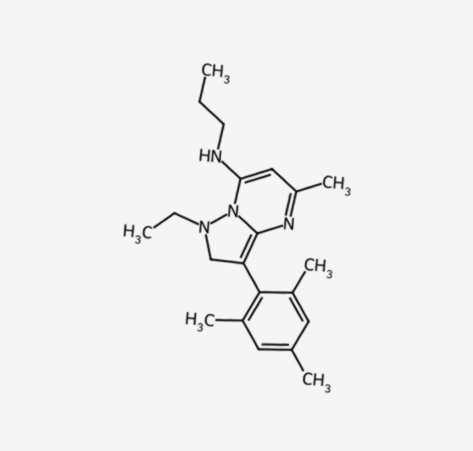 CCCNC1=CC(C)=NC2=C(c3c(C)cc(C)cc3C)CN(CC)N12